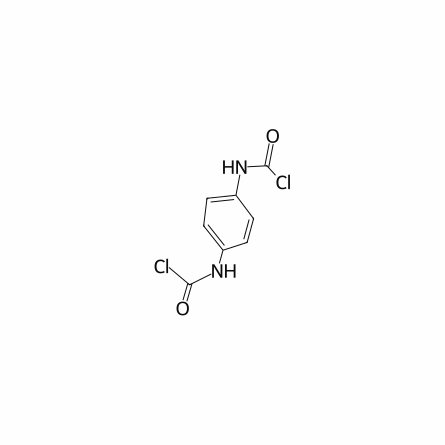 O=C(Cl)Nc1ccc(NC(=O)Cl)cc1